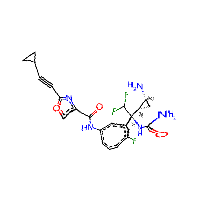 NC(=O)N[C@@](c1cc(NC(=O)c2coc(C#CC3CC3)n2)ccc1F)(C(F)F)[C@H]1C[C@H]1N